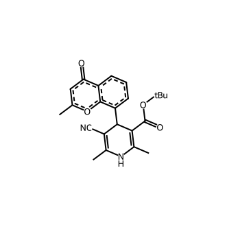 CC1=C(C#N)C(c2cccc3c(=O)cc(C)oc23)C(C(=O)OC(C)(C)C)=C(C)N1